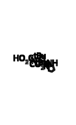 CC(C)(C)C(c1cccc(-c2nc3ccccc3[nH]2)c1)(N(C(=O)O)C(=O)O)C(C)(C)C